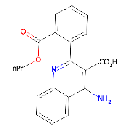 CCCOC(=O)c1ccccc1-c1nc2ccccc2c(N)c1C(=O)O